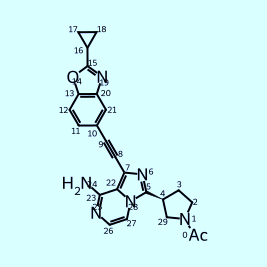 CC(=O)N1CC[C@H](c2nc(C#Cc3ccc4oc(C5CC5)nc4c3)c3c(N)nccn23)C1